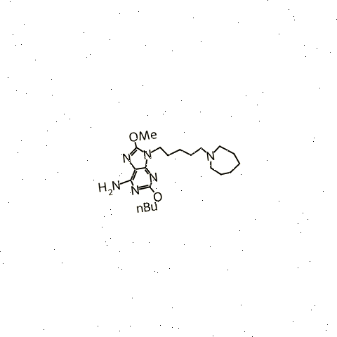 CCCCOc1nc(N)c2nc(OC)n(CCCCCN3CCCCCC3)c2n1